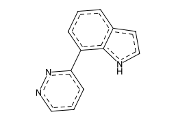 c1cnnc(-c2cccc3cc[nH]c23)c1